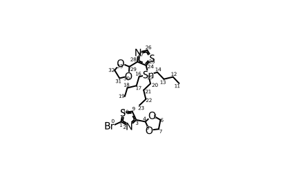 Brc1nc(C2OCCO2)cs1.CCC[CH2][Sn]([CH2]CCC)([CH2]CCC)[c]1scnc1C1OCCO1